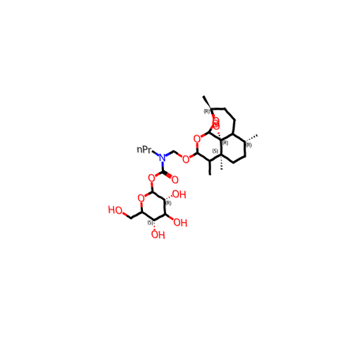 CCCN(COC1OC2O[C@@]3(C)CCC4[C@H](C)CC[C@@](C)(C1C)[C@@]24OO3)C(=O)OC1OC(CO)[C@@H](O)C(O)[C@H]1O